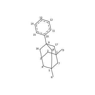 CC12CC3CC(C)(C1)CC(c1ccccc1)(C3)C2